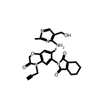 C#CCN1C(=O)COc2cc(F)c(N3C(=O)C4=C(CCCC4)C3=O)cc21.Cc1ncc(CO)c(N)n1